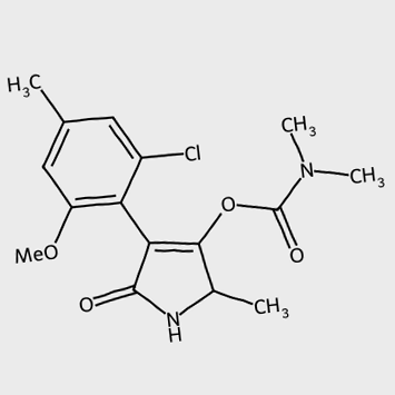 COc1cc(C)cc(Cl)c1C1=C(OC(=O)N(C)C)C(C)NC1=O